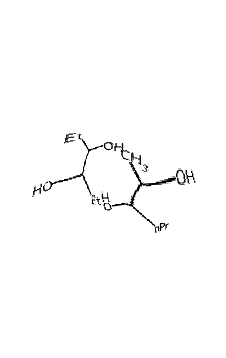 CCC(O)C(O)CC.CCCC(O)C(C)O